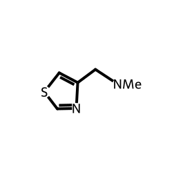 CNCc1cscn1